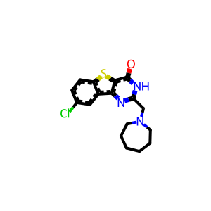 O=c1[nH]c(CN2CCCCCC2)nc2c1sc1ccc(Cl)cc12